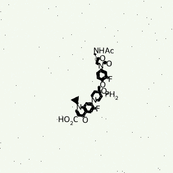 CC(=O)NC[C@H]1CN(c2ccc(OCC3(OP)CCN(c4cc5c(cc4F)c(=O)c(C(=O)O)cn5C4CC4)CC3)c(F)c2)C(=O)O1